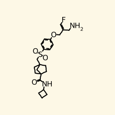 NCC(=CF)COc1ccc(S(=O)(=O)CC23CCC(C(=O)NC4CCC4)(CC2)C3)cc1